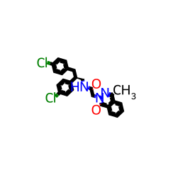 Cc1nn(CC(=O)NC[C@H](Cc2ccc(Cl)cc2)c2ccc(Cl)cc2)c(=O)c2ccccc12